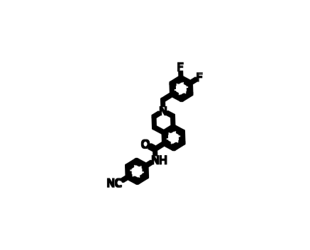 N#Cc1ccc(NC(=O)c2cccc3c2CCN(Cc2ccc(F)c(F)c2)C3)cc1